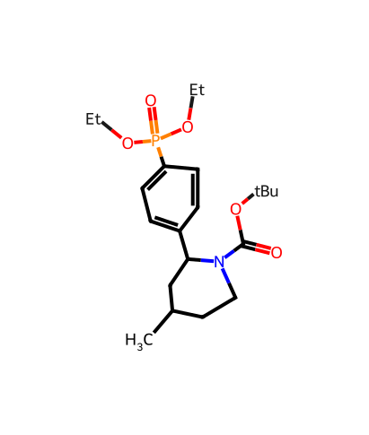 CCOP(=O)(OCC)c1ccc(C2CC(C)CCN2C(=O)OC(C)(C)C)cc1